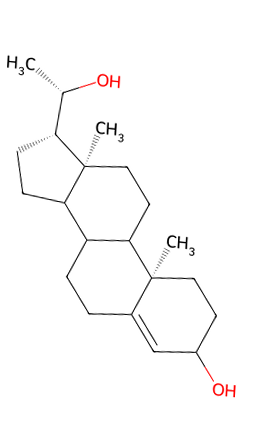 C[C@H](O)[C@H]1CCC2C3CCC4=CC(O)CC[C@]4(C)C3CC[C@@]21C